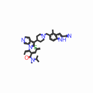 C=C(F)/C=C(C(=O)N(C)C(C)C)\C(=C/C)n1cc(C2CCN(Cc3ccc4[nH]c(C#N)cc4c3C)CC2)c2ccncc21